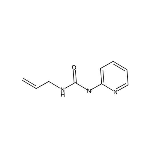 C=CCNC(=O)[N]c1ccccn1